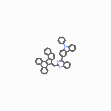 C(=C1/c2ccc3ccccc3c2-c2c1c1ccccc1c1ccccc21)/c1nc(-c2ccc3c(c2)c2ccccc2n3-c2ccccc2)c2ccccc2n1